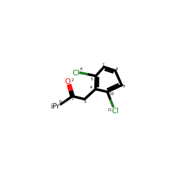 CC(C)C(=O)Cc1c(Cl)cccc1Cl